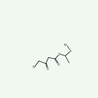 CCSC(C)OC(=O)CC(=O)CCl